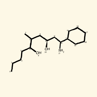 CCCCC(O)C(C)C[C@H](O)CC(N)C1CCCCC1